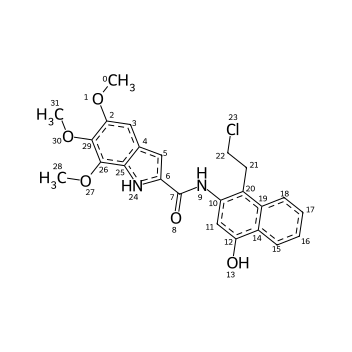 COc1cc2cc(C(=O)Nc3cc(O)c4ccccc4c3CCCl)[nH]c2c(OC)c1OC